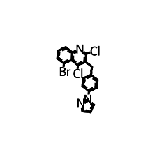 Clc1nc2cccc(Br)c2c(Cl)c1Cc1ccc(-n2cccn2)cc1